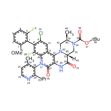 COc1cccc(F)c1-c1c(Cl)cc2c3c(c(=O)n(-c4c(C)ccnc4C(C)C)c2c1F)NC(=O)[C@H]1CN(C(=O)OC(C)(C)C)[C@H](C)CN31